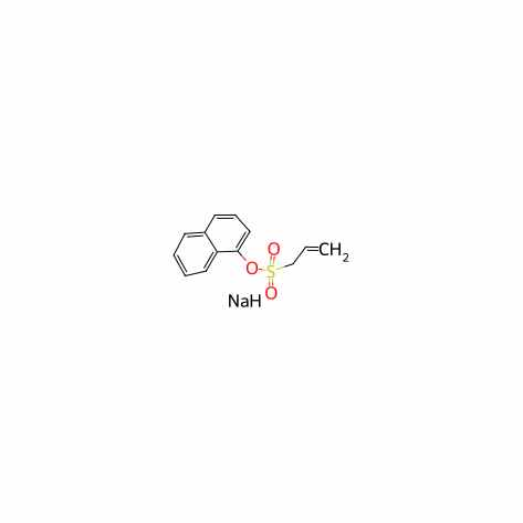 C=CCS(=O)(=O)Oc1cccc2ccccc12.[NaH]